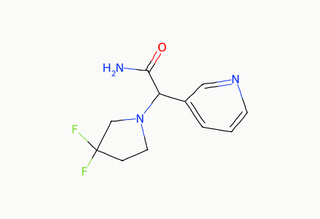 NC(=O)C(c1cccnc1)N1CCC(F)(F)C1